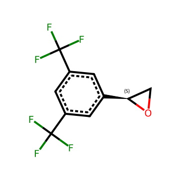 FC(F)(F)c1cc([C@H]2CO2)cc(C(F)(F)F)c1